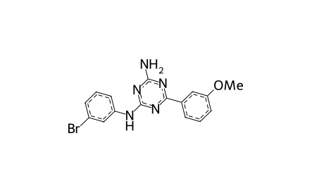 COc1cccc(-c2nc(N)nc(Nc3cccc(Br)c3)n2)c1